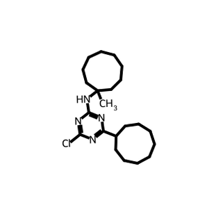 CC1(Nc2nc(Cl)nc(C3CCCCCCCC3)n2)CCCCCCCC1